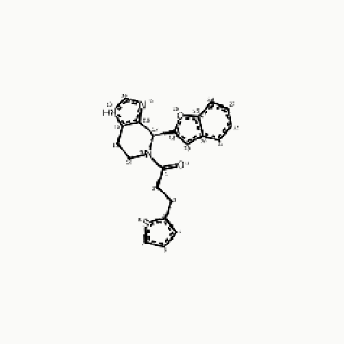 O=C(CCc1cccs1)N1CCc2[nH]cnc2[C@H]1c1cc2ccccc2o1